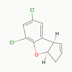 Clc1cc(Cl)c2c(c1)[C@H]1C=CC[C@H]1O2